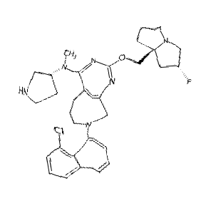 CN(c1nc(OC[C@@]23CCCN2C[C@H](F)C3)nc2c1CCN(c1cccc3cccc(Cl)c13)C2)[C@@H]1CCNC1